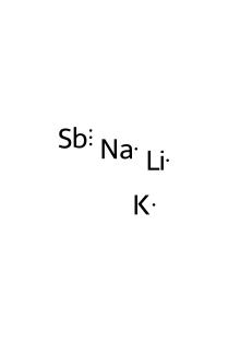 [K].[Li].[Na].[Sb]